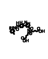 Cc1ccc(F)c(NC(=O)Nc2ccc(-c3cc(C(=O)N=S(=O)(CCCCC(=O)O)CCCCC(=O)O)cnc3N)cc2)c1